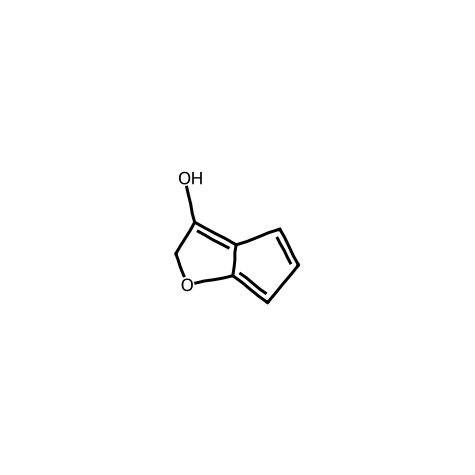 OC1=C2C=CC=C2OC1